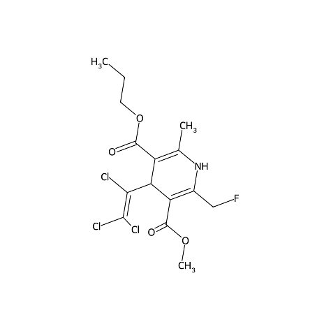 CCCOC(=O)C1=C(C)NC(CF)=C(C(=O)OC)C1C(Cl)=C(Cl)Cl